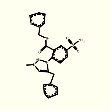 CN1C=C(Cc2ccccc2)N(c2ccc(S(N)(=O)=O)cc2C(=O)NCc2ccccn2)N1